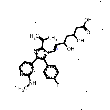 C=C(C)c1nc(-c2ccnc(NC)n2)c(-c2ccc(F)cc2)n1/C=C/C(O)CC(O)CC(=O)O